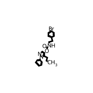 CCCc1c(OC(=O)NCCc2ccc(Br)cc2)cnn1-c1ccccc1